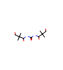 CC(C)(CO)C(O)NC(=O)NC(O)C(C)(C)CO